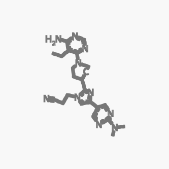 CCc1c(N)ncnc1N1CCC(c2nc(-c3cnc(N(C)C)nc3)cn2CCC#N)CC1